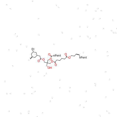 C=C1CC(CC)CC(CC(=O)OCC(CO)(COC(=O)CCCCC)COC(=O)CCCCC(=O)OCC/C=C\CCCCC)C1